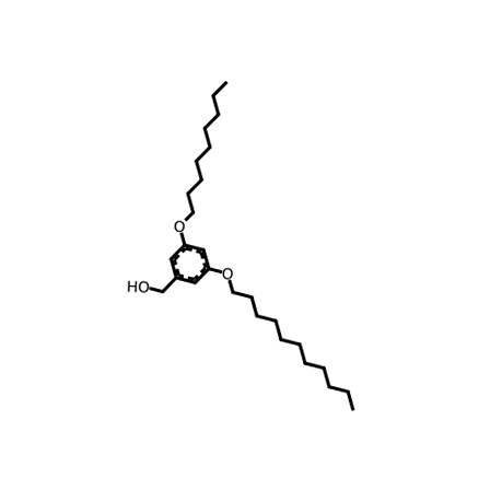 CCCCCCCCCCCOc1cc(CO)cc(OCCCCCCCCC)c1